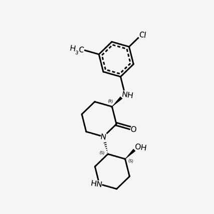 Cc1cc(Cl)cc(N[C@@H]2CCCN([C@H]3CNCC[C@@H]3O)C2=O)c1